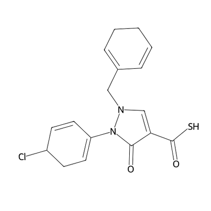 O=C(S)c1cn(CC2=CCCC=C2)n(C2=CCC(Cl)C=C2)c1=O